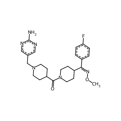 CON=C(c1ccc(F)cc1)C1CCN(C(=O)C2CCN(Cc3cnc(N)nc3)CC2)CC1